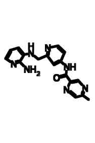 Cc1cnc(C(=O)Nc2ccnc(CNc3cccnc3N)c2)cn1